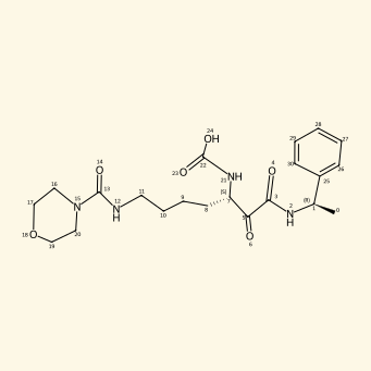 C[C@@H](NC(=O)C(=O)[C@H](CCCCNC(=O)N1CCOCC1)NC(=O)O)c1ccccc1